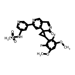 COc1cc(OC)c(F)c(C2CC23C(=O)N=Cc2cnc(-c4cncc(NS(C)(=O)=O)c4)cc23)c1F